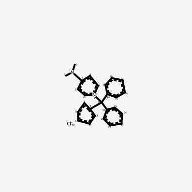 CN(C)c1cc[n+](C(c2ccccc2)(c2ccccc2)c2ccccc2)cc1.[Cl-]